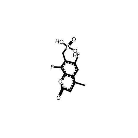 Cc1cc(=O)oc2c(F)c(CP(=O)(O)O)c(F)cc12